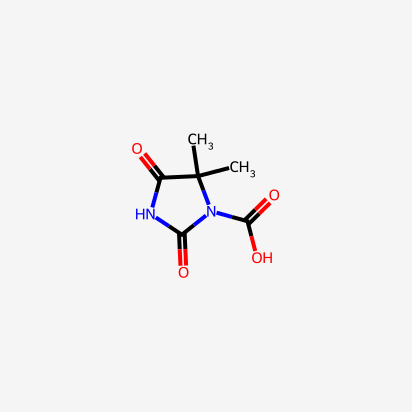 CC1(C)C(=O)NC(=O)N1C(=O)O